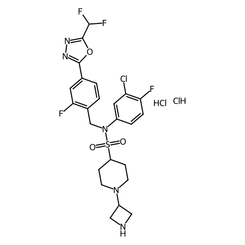 Cl.Cl.O=S(=O)(C1CCN(C2CNC2)CC1)N(Cc1ccc(-c2nnc(C(F)F)o2)cc1F)c1ccc(F)c(Cl)c1